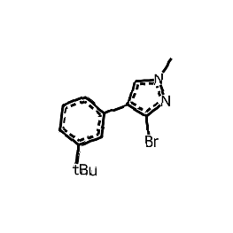 Cn1cc(-c2cccc(C(C)(C)C)c2)c(Br)n1